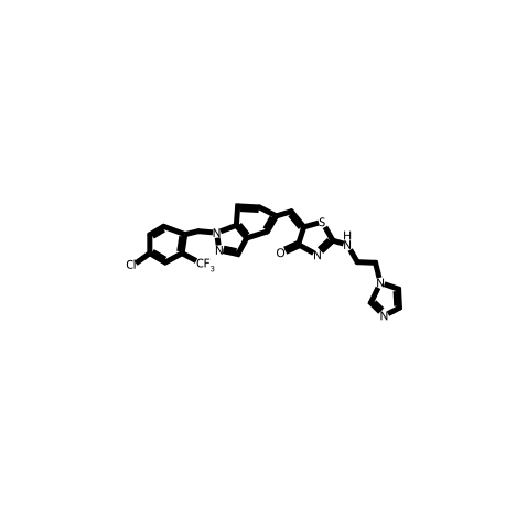 O=C1N=C(NCCn2ccnc2)SC1=Cc1ccc2c(cnn2Cc2ccc(Cl)cc2C(F)(F)F)c1